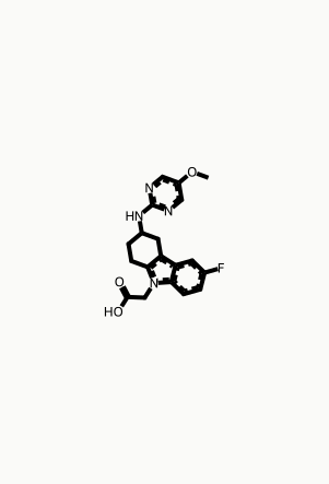 COc1cnc(NC2CCc3c(c4cc(F)ccc4n3CC(=O)O)C2)nc1